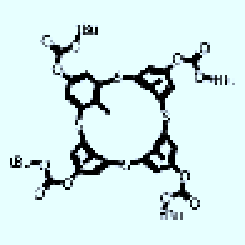 Cc1c2cc(OC(=O)OC(C)(C)C)cc1Sc1cc(OC(=O)OC(C)(C)C)cc(c1C)Sc1cc(OC(=O)OC(C)(C)C)cc(c1C)Sc1cc(OC(=O)OC(C)(C)C)cc(c1C)S2